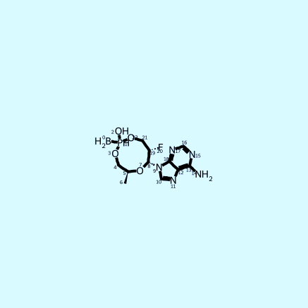 B[PH]1(O)OC[C@H](C)O[C@@H](n2cnc3c(N)ncnc32)[C@@H](F)CO1